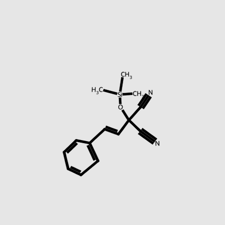 C[Si](C)(C)OC(C#N)(C#N)C=Cc1ccccc1